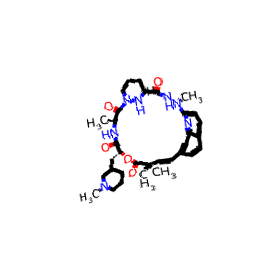 C[C@@H]1NC(=O)[C@@H](CC2CCCN(C)C2)OC(=O)C(C)(C)/C=C/c2ccc3ccc(nc3c2)N(C)NC(=O)[C@@H]2CCCN(N2)C1=O